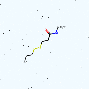 CCCCCCCNC(=O)CCSSCCC(C)=O